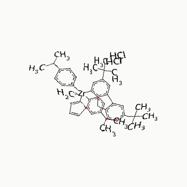 Cl.Cl.[CH2]=[Zr]([C]1=CC=CC1)([c]1ccc(C(C)C)cc1)([c]1ccc(C(C)C)cc1)[c]1cc(C(C)(C)C)cc2c1Cc1ccc(C(C)(C)C)cc1-2